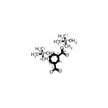 C[N+](C)(C)C.C[N+](C)(C)C.O=C([O-])c1cccc(C(=O)[O-])c1